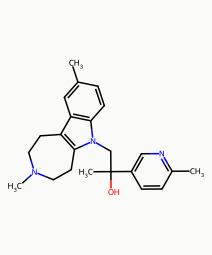 Cc1ccc2c(c1)c1c(n2CC(C)(O)c2ccc(C)nc2)CCN(C)CC1